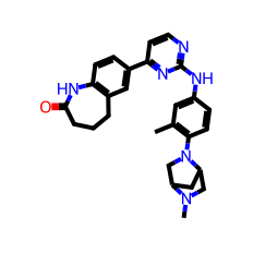 Cc1cc(Nc2nccc(-c3ccc4c(c3)CCCC(=O)N4)n2)ccc1N1CC2CC1CN2C